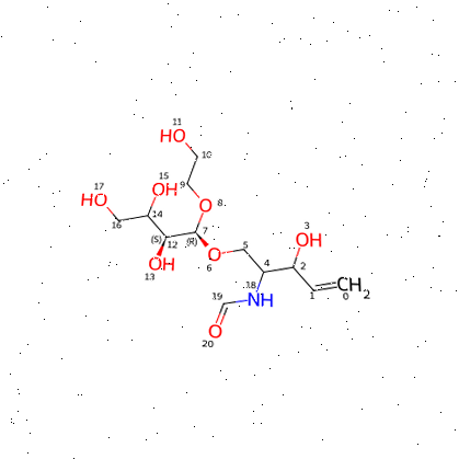 C=CC(O)C(CO[C@H](OCCO)[C@@H](O)C(O)CO)NC=O